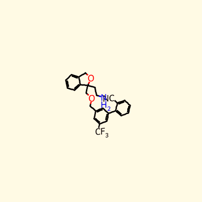 N#Cc1ccccc1-c1cc(COCC2(CCN)OCc3ccccc32)cc(C(F)(F)F)c1